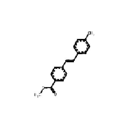 COC(=O)c1ccc(/C=C/c2ccc(C)cc2)cc1